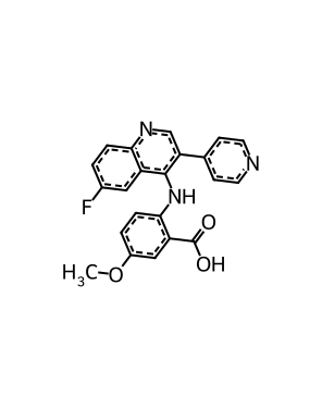 COc1ccc(Nc2c(-c3ccncc3)cnc3ccc(F)cc23)c(C(=O)O)c1